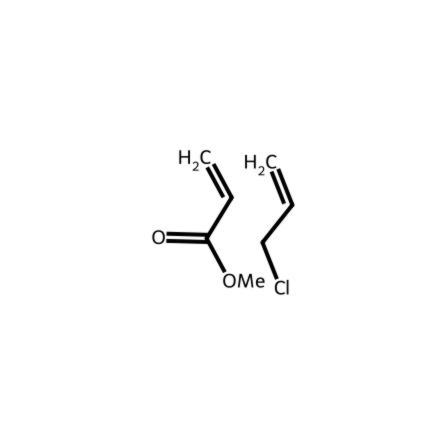 C=CC(=O)OC.C=CCCl